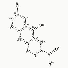 O=C(O)c1ccc2nc3ccc(Cl)cc3c(=O)n2n1